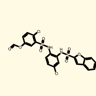 O=COc1ccc(Cl)c(S(=O)(=O)Nc2ccc(Cl)cc2NS(=O)(=O)c2cc3ccccc3o2)c1